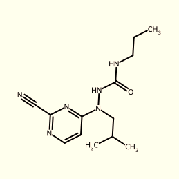 CCCNC(=O)NN(CC(C)C)c1ccnc(C#N)n1